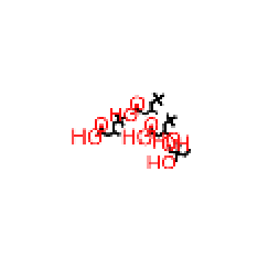 CC(CC(=O)O)CC(C)(C)C.CC(CC(=O)O)CC(C)(C)C.CC(CC(=O)O)CC(C)(C)C.CCC(CO)(CO)CO